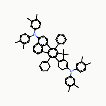 Cc1ccc(N(C2=CC3=C(CC2)c2c(C4=CC=CCC4)c4c(c(-c5ccccc5)c2C3(C)C)-c2ccc(N(c3ccc(C)c(C)c3)c3ccc(C)c(C)c3)c3cccc-4c23)c2ccc(C)c(C)c2)cc1C